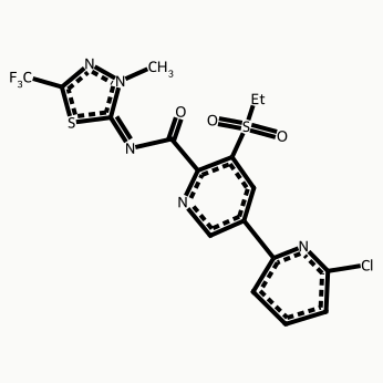 CCS(=O)(=O)c1cc(-c2cccc(Cl)n2)cnc1C(=O)N=c1sc(C(F)(F)F)nn1C